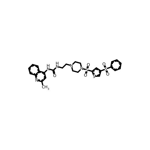 Cc1cc(NC(=O)NCCN2CCN(S(=O)(=O)c3cc(S(=O)(=O)c4ccccc4)cs3)CC2)c2ccccc2n1